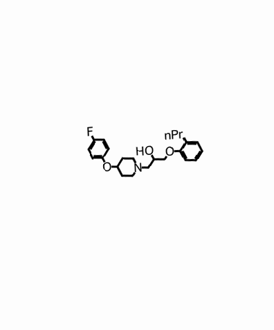 CCCc1ccccc1OCC(O)CN1CCC(Oc2ccc(F)cc2)CC1